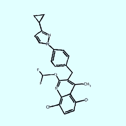 Cc1c(Cc2ccc(-n3ccc(C4CC4)n3)cc2)c(OC(F)F)nc2c(Cl)ccc([O])c12